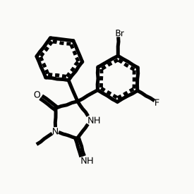 CN1C(=N)NC(c2ccccc2)(c2cc(F)cc(Br)c2)C1=O